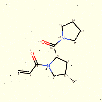 C=CC(=O)N1C[C@@H](C)C[C@H]1C(=O)N1CCCC1